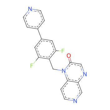 O=c1cnc2cnccc2n1Cc1c(F)cc(-c2ccncc2)cc1F